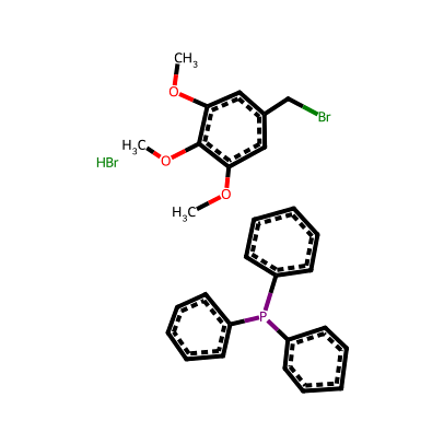 Br.COc1cc(CBr)cc(OC)c1OC.c1ccc(P(c2ccccc2)c2ccccc2)cc1